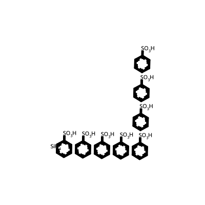 O=S(=O)(O)c1ccccc1.O=S(=O)(O)c1ccccc1.O=S(=O)(O)c1ccccc1.O=S(=O)(O)c1ccccc1.O=S(=O)(O)c1ccccc1.O=S(=O)(O)c1ccccc1.O=S(=O)(O)c1ccccc1.O=S(=O)(O)c1ccccc1.[SiH4]